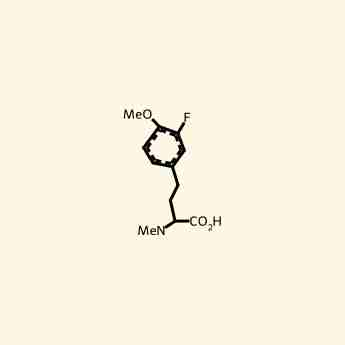 CNC(CCc1ccc(OC)c(F)c1)C(=O)O